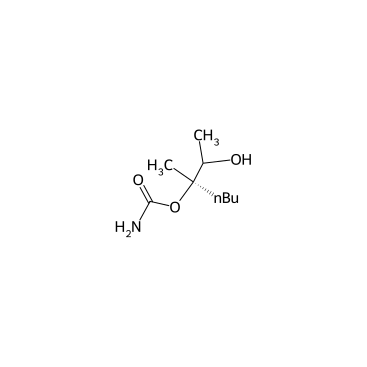 CCCC[C@@](C)(OC(N)=O)C(C)O